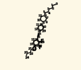 CCCCCC[C@H]1CC[C@H](c2ccc(C#Cc3ccc(OCCCC)c(F)c3F)cc2)CC1